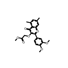 COC(=O)COc1c(-c2ccc(OC)c(OC)c2)oc2cc(C)cc(C)c2c1=O